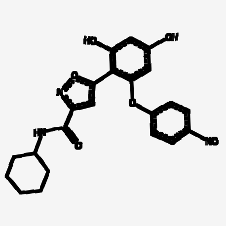 O=Nc1ccc(Oc2cc(O)cc(O)c2-c2cc(C(=O)NC3CCCCC3)no2)cc1